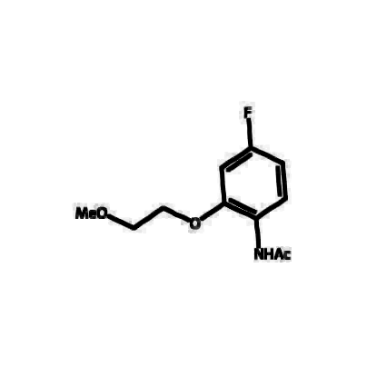 COCCOc1cc(F)ccc1NC(C)=O